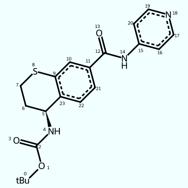 CC(C)(C)OC(=O)N[C@H]1CCSc2cc(C(=O)Nc3ccncc3)ccc21